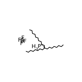 CCCCCCCCC(=CC([PH3+])CCCCCCCC)CCCCCCCC.F[B-](F)(F)F